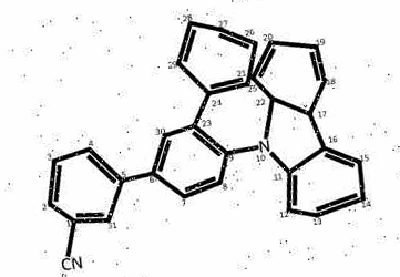 N#Cc1cccc(-c2ccc(N3c4ccccc4C4C=CC=CC43)c(-c3ccccc3)c2)c1